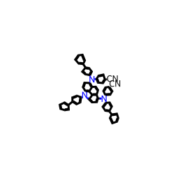 N#Cc1ccc(N(c2ccc(-c3ccccc3)cc2)c2ccc3c4c2ccc2c(N(c5ccc(C#N)cc5)c5ccc(-c6ccccc6)cc5)ccc(c24)n3-c2ccc(-c3ccccc3)cc2)cc1